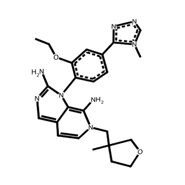 CCOc1cc(-c2nncn2C)ccc1N1C(N)=NC=C2C=CN(CC3(C)CCOC3)C(N)=C21